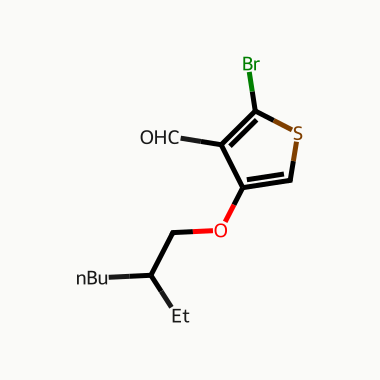 CCCCC(CC)COc1csc(Br)c1C=O